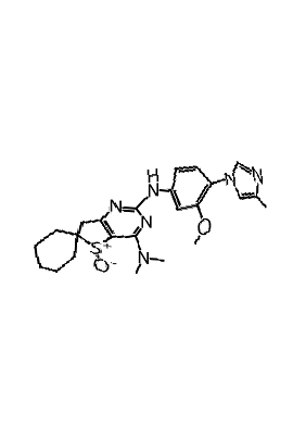 COc1cc(Nc2nc3c(c(N(C)C)n2)[S+]([O-])C2(CCCCC2)C3)ccc1-n1cnc(C)c1